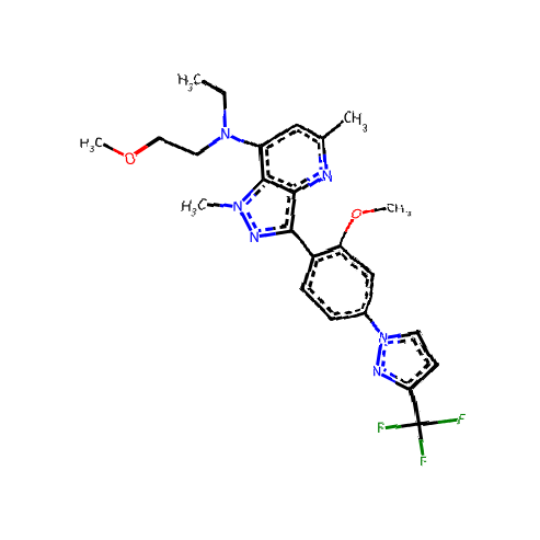 CCN(CCOC)c1cc(C)nc2c(-c3ccc(-n4ccc(C(F)(F)F)n4)cc3OC)nn(C)c12